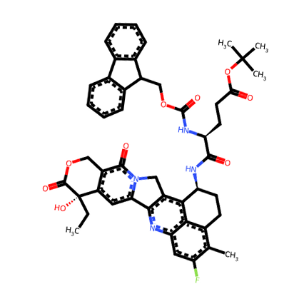 CC[C@@]1(O)C(=O)OCc2c1cc1n(c2=O)Cc2c-1nc1cc(F)c(C)c3c1c2[C@@H](NC(=O)[C@H](CCC(=O)OC(C)(C)C)NC(=O)OCC1c2ccccc2-c2ccccc21)CC3